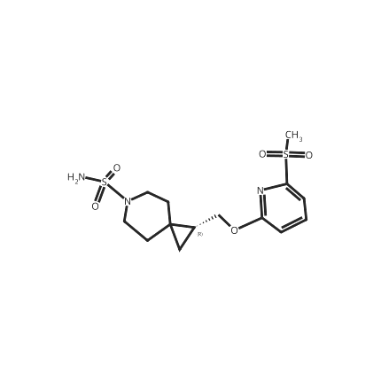 CS(=O)(=O)c1cccc(OC[C@@H]2CC23CCN(S(N)(=O)=O)CC3)n1